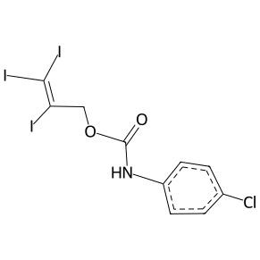 O=C(Nc1ccc(Cl)cc1)OCC(I)=C(I)I